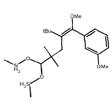 COC(=C(CC(C)(C)C(O[SiH2]C)O[SiH2]C)C(C)(C)C)c1cccc(OC)c1